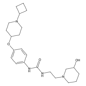 O=C(NCCN1CCCC(O)C1)Nc1ccc(OC2CCN(C3CCC3)CC2)cc1